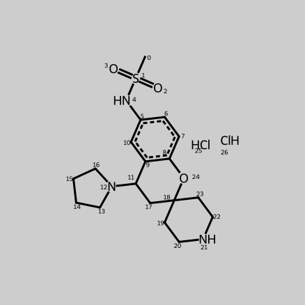 CS(=O)(=O)Nc1ccc2c(c1)C(N1CCCC1)CC1(CCNCC1)O2.Cl.Cl